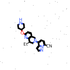 CC[C@@H]1CN(c2ccc(C#N)n3nccc23)Cc2ccc(OC3CCNCC3)nc21